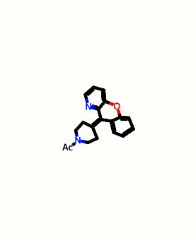 CC(=O)N1CCC(=C2c3ccccc3Oc3cccnc32)CC1